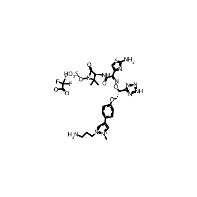 C[n+]1cc(-c2ccc(OC[C@H](O/N=C(\C(=O)N[C@@H]3C(=O)N(OS(=O)(=O)O)C3(C)C)c3csc(N)n3)c3nn[nH]n3)cc2)cn1CCCN.O=C([O-])C(F)(F)F